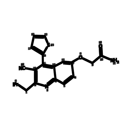 CC(C)Cc1nc2ccc(OCC(N)=O)cc2c(-c2cccs2)c1C#N